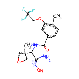 Cc1ccc(C(=O)NC(/C(N)=N/O)C2(C)COC2)cc1OCC(F)(F)F